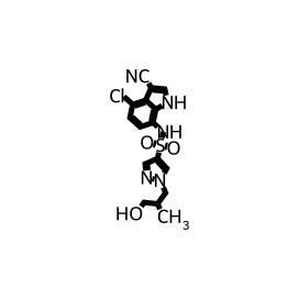 CC(CO)Cn1cc(S(=O)(=O)Nc2ccc(Cl)c3c(C#N)c[nH]c23)cn1